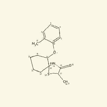 Cc1ccccc1OC1CCCCC12NC(=O)C(C)S2